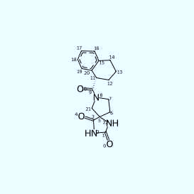 O=C1NC(=O)C2(CCN(C(=O)[C@H]3CCCc4ccccc43)C2)N1